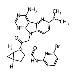 CN(C)c1ccc2c(n1)c1c(N)ncnc1n2CC(=O)N1[C@@H]2C[C@@H]2C[C@H]1C(=O)Nc1cccc(Br)n1